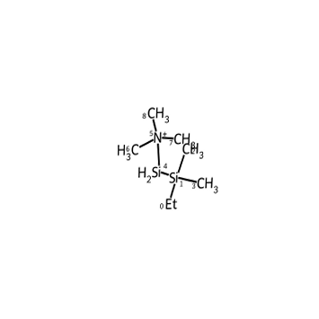 CC[Si](C)(C)[SiH2][N+](C)(C)C